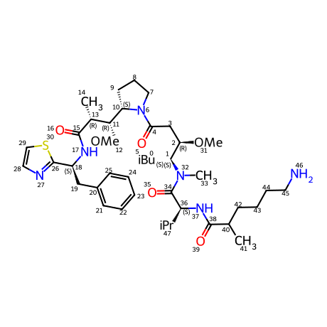 CC[C@H](C)[C@@H]([C@@H](CC(=O)N1CCC[C@H]1[C@H](OC)[C@@H](C)C(=O)N[C@@H](Cc1ccccc1)c1nccs1)OC)N(C)C(=O)[C@@H](NC(=O)C(C)CCCCN)C(C)C